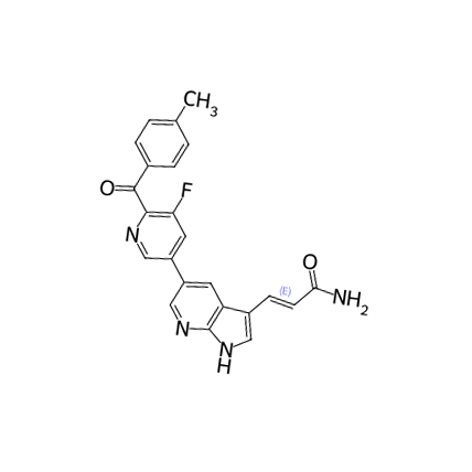 Cc1ccc(C(=O)c2ncc(-c3cnc4[nH]cc(/C=C/C(N)=O)c4c3)cc2F)cc1